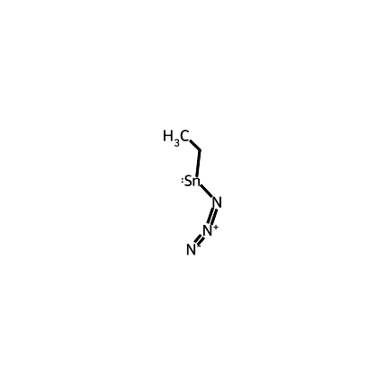 C[CH2][Sn][N]=[N+]=[N-]